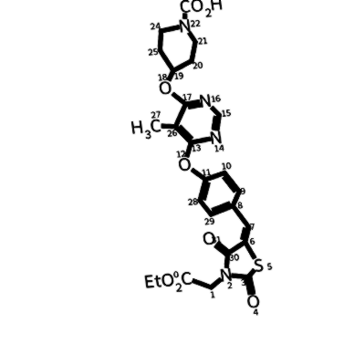 CCOC(=O)CN1C(=O)SC(=Cc2ccc(Oc3ncnc(OC4CCN(C(=O)O)CC4)c3C)cc2)C1=O